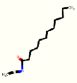 C=C=NC(=O)CCCCCCCCCCC